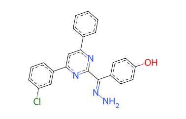 N/N=C(\c1ccc(O)cc1)c1nc(-c2ccccc2)cc(-c2cccc(Cl)c2)n1